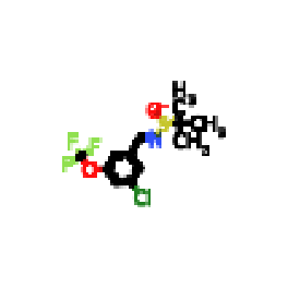 CC(C)(C)[S+]([O-])/N=C/c1cc(Cl)cc(OC(F)(F)F)c1